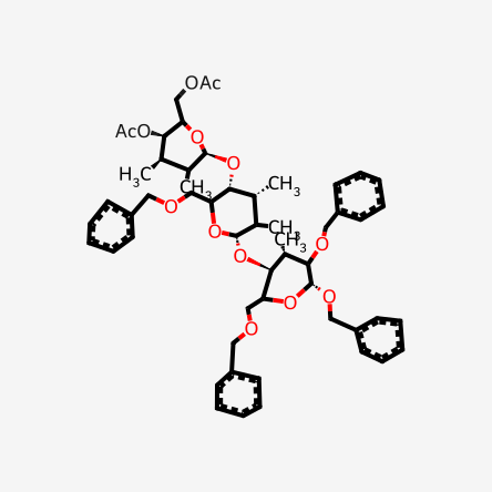 CC(=O)OCC1O[C@@H](O[C@H]2C(COCc3ccccc3)O[C@@H](O[C@@H]3C(COCc4ccccc4)O[C@@H](OCc4ccccc4)C(OCc4ccccc4)[C@H]3C)C(C)[C@H]2C)C(C)[C@@H](C)[C@H]1OC(C)=O